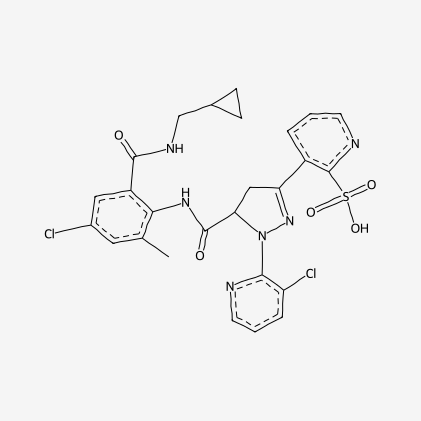 Cc1cc(Cl)cc(C(=O)NCC2CC2)c1NC(=O)C1CC(c2cccnc2S(=O)(=O)O)=NN1c1ncccc1Cl